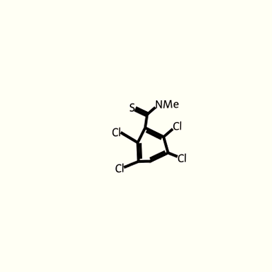 CNC(=S)c1c(Cl)c(Cl)cc(Cl)c1Cl